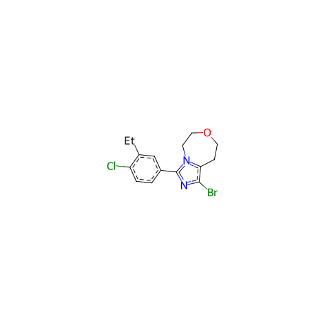 CCc1cc(-c2nc(Br)c3n2CCOCC3)ccc1Cl